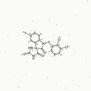 O=C1NC(=O)C2(N1)C(=O)N(Cc1cccc(Cl)c1Cl)c1ccc(F)cc12